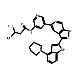 CC(C)CC(=O)Nc1cncc(-c2cc3c(-c4cc5c(N6CCCCC6)cccc5[nH]4)n[nH]c3cn2)c1